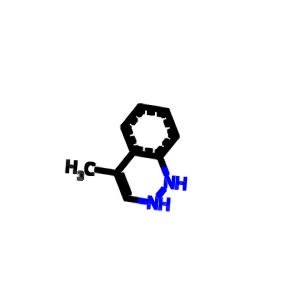 CC1=CNNc2ccccc21